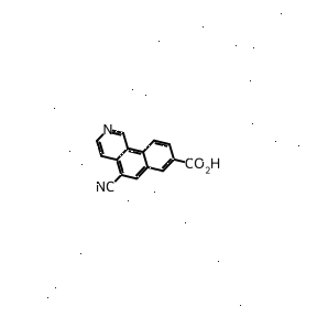 N#Cc1cc2cc(C(=O)O)ccc2c2cnccc12